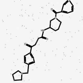 O=C(CCC(=O)c1ccc(CN2CCCC2)cc1)NC1CCCN(C(=O)c2cccnc2)C1